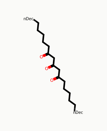 CCCCCCCCCCCCCCCC(=O)CC(=O)CC(=O)CCCCCCCCCCCCCCC